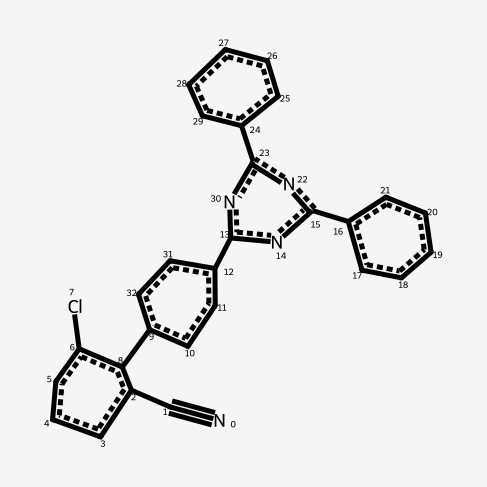 N#Cc1cccc(Cl)c1-c1ccc(-c2nc(-c3ccccc3)nc(-c3ccccc3)n2)cc1